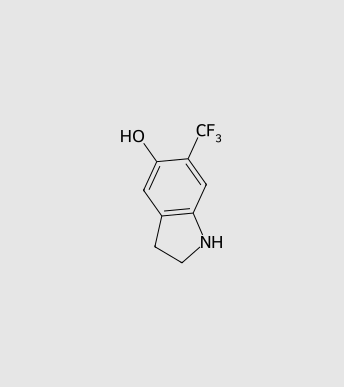 Oc1cc2c(cc1C(F)(F)F)NCC2